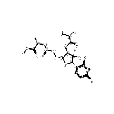 CC(C)OC(=O)[C@@H](C)N[PH](=O)OC[C@H]1O[C@@H](n2ccc(=O)[nH]c2=O)[C@](Cl)(Br)[C@@H]1OC(=O)[C@H](C)N